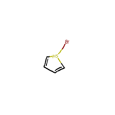 Br[SH]1C=CC=C1